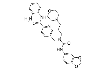 Nc1ccccc1NC(=O)c1ccc(CN(CCCN2CCOCC2)C(=O)Nc2ccc3c(c2)OCO3)cn1